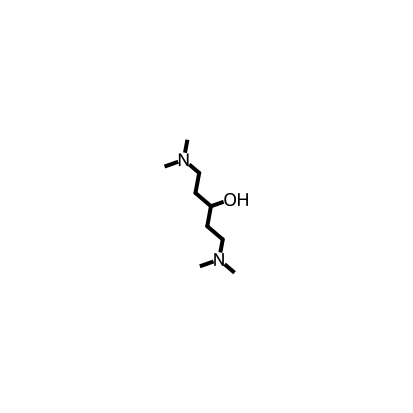 CN(C)CCC(O)CCN(C)C